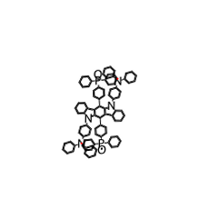 O=P(c1ccccc1)(c1ccccc1)c1ccc(-c2c3c4ccccc4n(-c4ccc(N(c5ccccc5)c5ccccc5)cc4)c3c(-c3ccc(P(=O)(c4ccccc4)c4ccccc4)cc3)c3c4ccccc4n(-c4ccc(N(c5ccccc5)c5ccccc5)cc4)c23)cc1